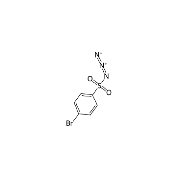 [N-]=[N+]=NS(=O)(=O)c1ccc(Br)cc1